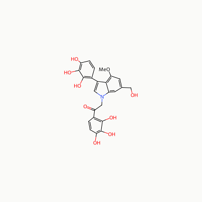 COc1cc(CO)cc2c1c(-c1ccc(O)c(O)c1O)cn2CC(=O)c1ccc(O)c(O)c1O